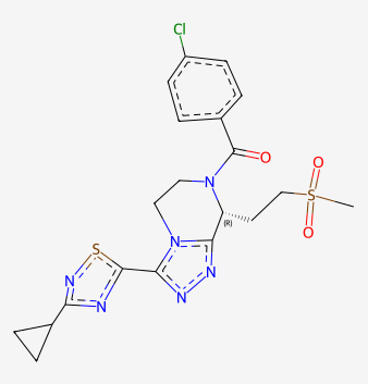 CS(=O)(=O)CC[C@@H]1c2nnc(-c3nc(C4CC4)ns3)n2CCN1C(=O)c1ccc(Cl)cc1